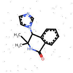 CC1(C)NC(=O)c2ccccc2C1n1ccnc1